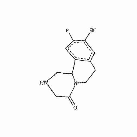 O=C1CNCC2c3cc(F)c(Br)cc3CCN12